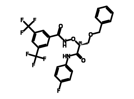 O=C(NO[C@H](COCc1ccccc1)C(=O)Nc1ccc(F)cc1)c1cc(C(F)(F)F)cc(C(F)(F)F)c1